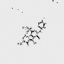 CN1CCn2c(c(O)c3c(=O)n(Cc4ccc(F)cc4)nc(S(C)(=O)=O)c32)C1=O